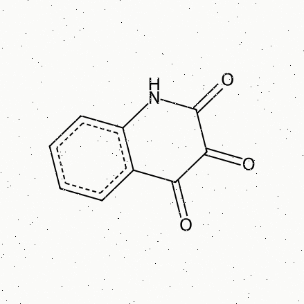 O=C1Nc2ccccc2C(=O)C1=O